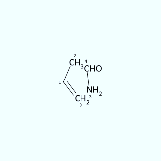 C=CC.NC=O